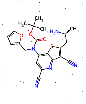 C[C@H](N)Cc1sc2c(N(Cc3ccco3)C(=O)OC(C)(C)C)cc(C#N)nc2c1C#N